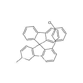 CC1C=CC2=C(C1)c1cccc(-c3cccc(Cl)c3)c1C21c2ccccc2-c2ccccc21